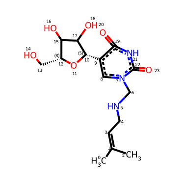 CC(C)=CCNCn1cc([C@@H]2O[C@H](CO)C(O)C2O)c(=O)[nH]c1=O